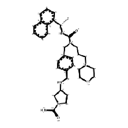 C[C@H](NC(=O)N(CCCN1CCOCC1)Cc1ccc(CNC2CCN(C(N)=O)C2)cc1)c1cccc2ccccc12